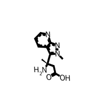 Cn1nc2ncccc2c1[C@@](C)(N)CC(=O)O